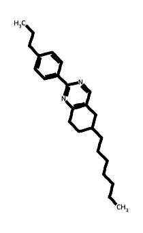 CCCCCCCC1CCc2nc(-c3ccc(CCC)cc3)ncc2C1